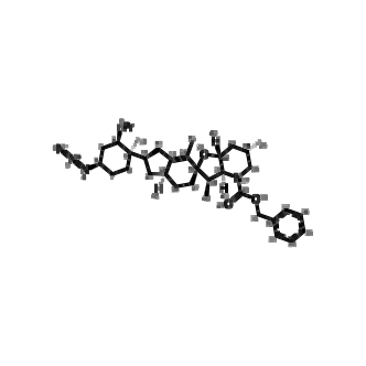 CCC[C@@H]1C[C@H](N=[N+]=[N-])CC[C@]1(C)[C@H]1CC2=C(C)[C@]3(CC[C@H]2C1)O[C@@H]1C[C@H](C)CN(C(=O)OCc2ccccc2)[C@H]1[C@H]3C